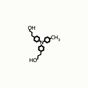 Cc1ccc(N(c2ccc(CCCO)cc2)c2ccc(CCCO)cc2)cc1